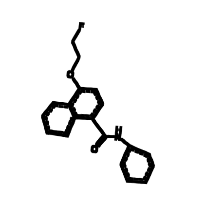 O=C(Nc1ccccc1)c1ccc(OCCF)c2ccccc12